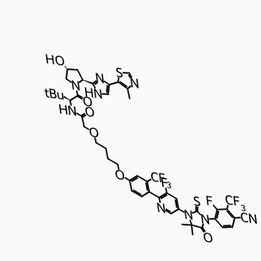 Cc1ncsc1-c1c[nH]c([C@@H]2C[C@@H](O)CN2C(=O)[C@@H](NC(=O)COCCCCOc2ccc(-c3ncc(N4C(=S)N(c5ccc(C#N)c(C(F)(F)F)c5F)C(=O)C4(C)C)cc3F)c(C(F)(F)F)c2)C(C)(C)C)n1